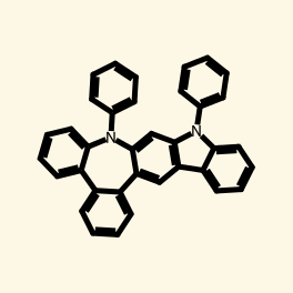 c1ccc(N2c3ccccc3-c3ccccc3-c3cc4c5ccccc5n(-c5ccccc5)c4cc32)cc1